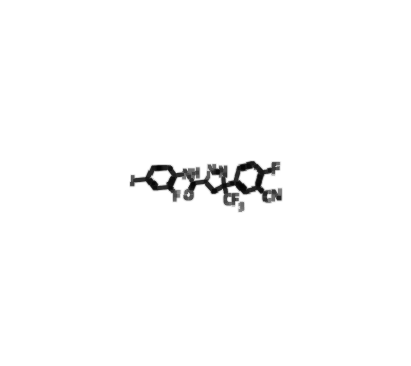 N#Cc1cc(C2(C(F)(F)F)CC(C(=O)Nc3ccc(I)cc3F)N=N2)ccc1F